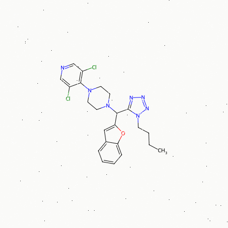 CCCCn1nnnc1C(c1cc2ccccc2o1)N1CCN(c2c(Cl)cncc2Cl)CC1